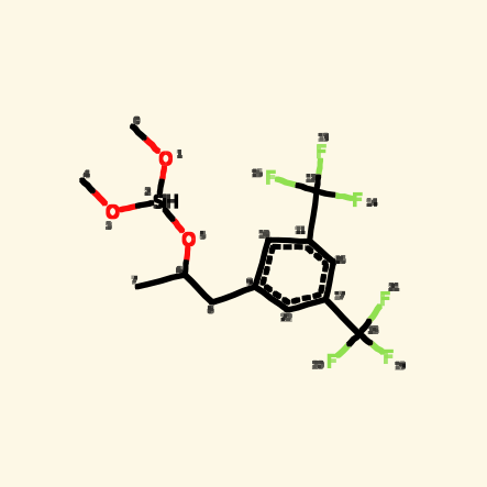 CO[SiH](OC)OC(C)Cc1cc(C(F)(F)F)cc(C(F)(F)F)c1